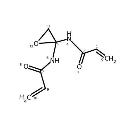 C=CC(=O)NC1(NC(=O)C=C)CO1